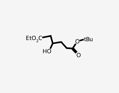 CCOC(=O)CC(O)CCC(=O)OC(C)(C)C